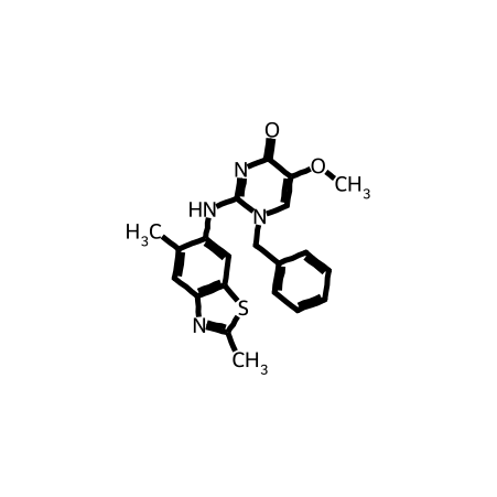 COc1cn(Cc2ccccc2)c(Nc2cc3sc(C)nc3cc2C)nc1=O